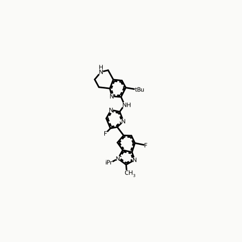 Cc1nc2c(F)cc(-c3nc(Nc4nc5c(cc4C(C)(C)C)CNCC5)ncc3F)cc2n1C(C)C